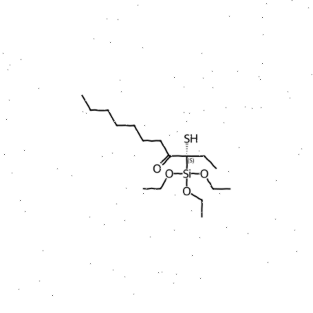 CCCCCCCC(=O)[C@@](S)(CC)[Si](OCC)(OCC)OCC